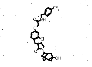 O=C(COc1ccc(CC2CCN(C3C4CC5CC3CC(O)(C5)C4)C2=O)c(Cl)c1)NCc1ccc(C(F)(F)F)cc1